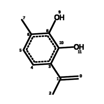 C=C(C)c1ccc(C)c(O)c1O